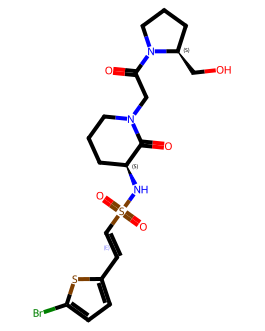 O=C1[C@@H](NS(=O)(=O)/C=C/c2ccc(Br)s2)CCCN1CC(=O)N1CCC[C@H]1CO